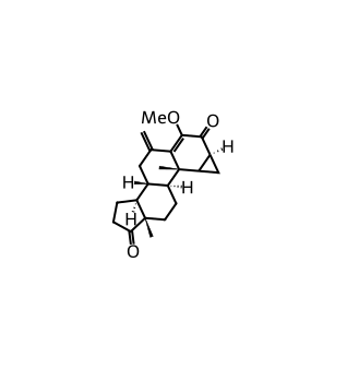 C=C1C[C@H]2[C@@H]3CCC(=O)[C@@]3(C)CC[C@@H]2[C@]2(C)C1=C(OC)C(=O)[C@H]1CC12